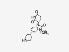 Cl.Cn1c(=O)n(C2CCC(=O)NC2=O)c2ccc(C3CCNCC3)cc21